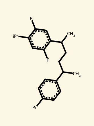 CC(C)c1ccc(C(C)CCC(C)c2cc(F)c(C(C)C)cc2F)cc1